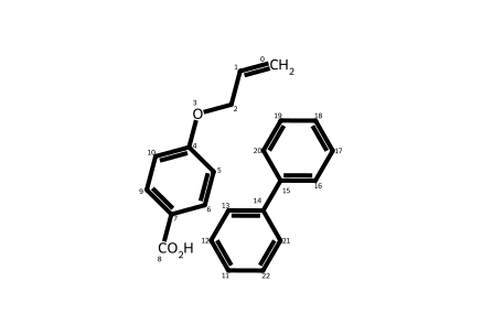 C=CCOc1ccc(C(=O)O)cc1.c1ccc(-c2ccccc2)cc1